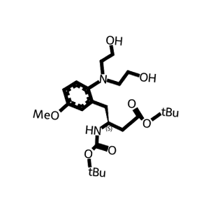 COc1ccc(N(CCO)CCO)c(C[C@@H](CC(=O)OC(C)(C)C)NC(=O)OC(C)(C)C)c1